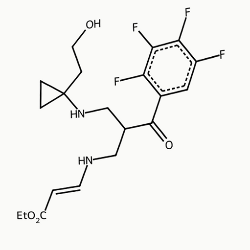 CCOC(=O)C=CNCC(CNC1(CCO)CC1)C(=O)c1cc(F)c(F)c(F)c1F